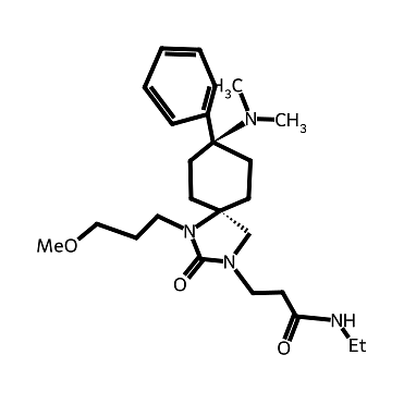 CCNC(=O)CCN1C[C@]2(CC[C@](c3ccccc3)(N(C)C)CC2)N(CCCOC)C1=O